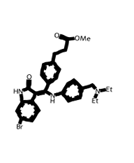 CCN(CC)Cc1ccc(NC(=C2C(=O)Nc3cc(Br)ccc32)c2ccc(CCC(=O)OC)cc2)cc1